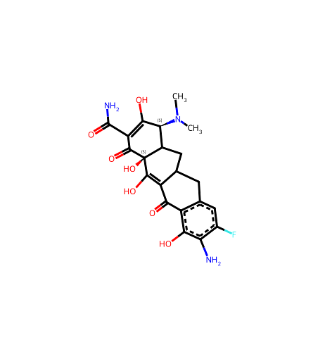 CN(C)[C@@H]1C(O)=C(C(N)=O)C(=O)[C@@]2(O)C(O)=C3C(=O)c4c(cc(F)c(N)c4O)CC3CC12